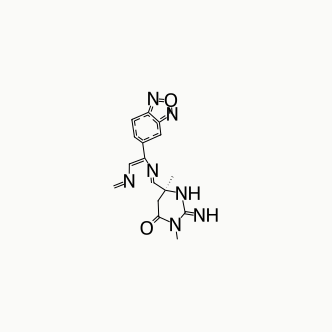 C=N/C=C(\N=C\[C@]1(C)CC(=O)N(C)C(=N)N1)c1ccc2nonc2c1